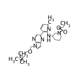 CCS(=O)(=O)N1CCCC(Nc2nc(C)ccc2-c2cnc3c(ccn3COCC[Si](C)(C)C)n2)C1